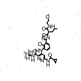 [2H]C([2H])([2H])NC(=O)c1nnc(NC(=O)C2CC2)cc1Nc1cccc(-c2noc(C(CCC)C(=O)NCCOC)n2)c1OC